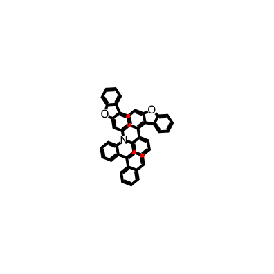 c1ccc(N(c2ccc3c(c2)oc2ccccc23)c2ccccc2-c2cccc3oc4ccccc4c23)c(-c2cccc3ccccc23)c1